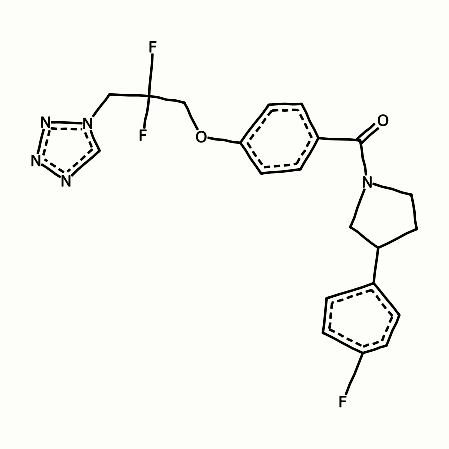 O=C(c1ccc(OCC(F)(F)Cn2cnnn2)cc1)N1CCC(c2ccc(F)cc2)C1